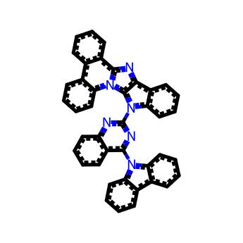 c1ccc2c(-n3c4ccccc4c4ccccc43)nc(-n3c4ccccc4c4nc5c6ccccc6c6ccccc6n5c43)nc2c1